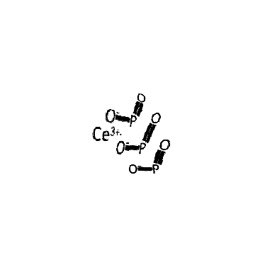 O=P[O-].O=P[O-].O=P[O-].[Ce+3]